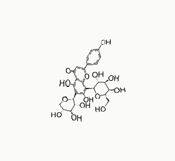 O=c1cc(-c2ccc(O)cc2)oc2c([C@@H]3O[C@H](CO)[C@H](O)[C@H](O)[C@H]3O)c(O)c([C@@H]3OC[C@@H](O)[C@H](O)[C@H]3O)c(O)c12